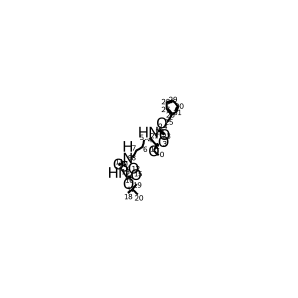 COC(=O)[C@H](CCCCNS(=O)(=O)NC(=O)OC(C)(C)C)NC(=O)OCc1ccccc1